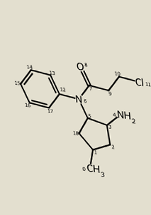 CC1CC(N)C(N(C(=O)CCCl)c2ccccc2)C1